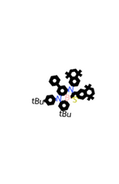 CC(C)(C)c1ccc(N2c3cc(C(C)(C)C)ccc3B3c4sc5cc6c(cc5c4N(c4ccc5c(c4)C(C)(C)CCC5(C)C)c4cc(-c5ccccc5)cc2c43)C(C)(C)CCC6(C)C)cc1